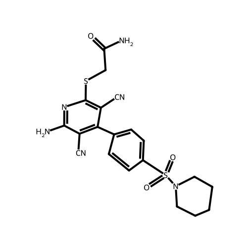 N#Cc1c(N)nc(SCC(N)=O)c(C#N)c1-c1ccc(S(=O)(=O)N2CCCCC2)cc1